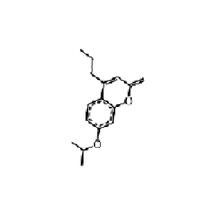 C=C1C=C(CCC)c2ccc(OC(C)C)cc2O1